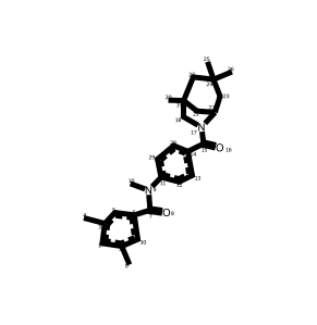 Cc1cc(C)cc(C(=O)N(C)c2ccc(C(=O)N3CC4(C)CC3CC(C)(C)C4)cc2)c1